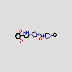 COc1cccc(OC)c1-c1ccc(N2CCN(CC(=O)N3CCN(C4CCC4)CC3)CC2)nn1